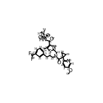 COc1ccc(C2(C(=O)N(CCCc3cccc(C(F)F)c3)Cc3nc(C(=O)NS(=O)(=O)N(C)C)c(C)s3)CC2)nc1